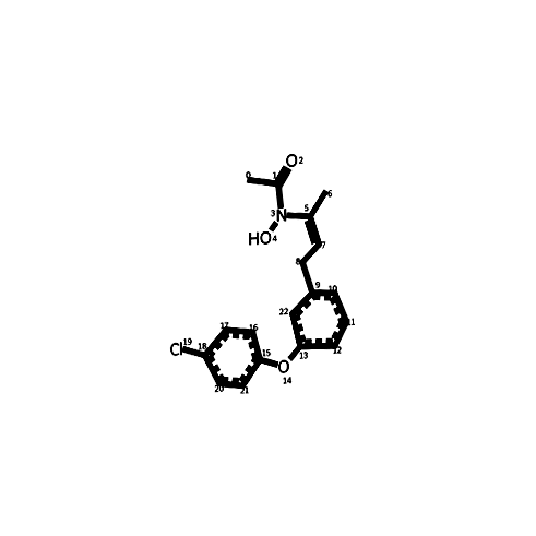 CC(=O)N(O)C(C)=CCc1cccc(Oc2ccc(Cl)cc2)c1